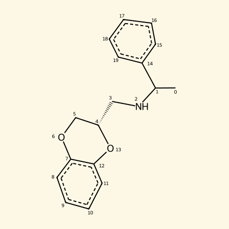 CC(NC[C@H]1COc2ccccc2O1)c1ccccc1